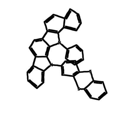 c1ccc(-n2c3c4ccccc4ccc3c3ccc4c5ccccc5n(-c5ccc6c(c5)Sc5ccccc5S6)c4c32)cc1